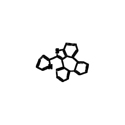 c1ccc(-c2sc3cccc4c3c2-c2ccccc2-c2ccccc2-4)nc1